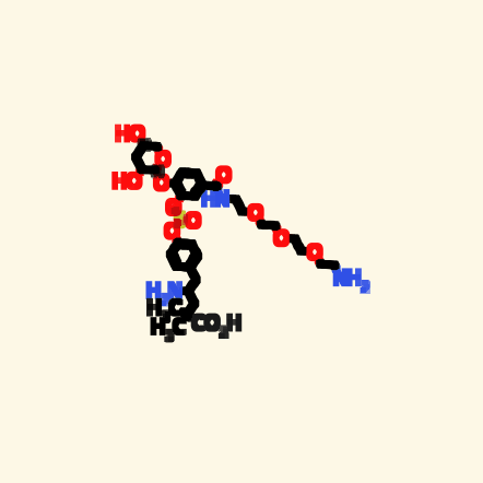 CC(C)(CC(N)Cc1ccc(OS(=O)Oc2cc(C(=O)NCCOCCOCCOCCN)ccc2O[C@@H]2OC[C@H](O)CC2O)cc1)C(=O)O